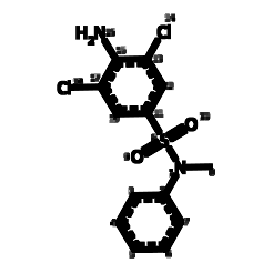 CN(c1ccccc1)S(=O)(=O)c1cc(Cl)c(N)c(Cl)c1